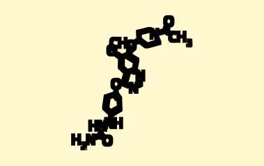 COc1cc2c(Oc3ccc(NNC(N)=O)cc3)ncnc2cc1OC1CCN(C(C)=O)CC1